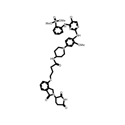 COc1cc(N2CCC(NC(=O)CCCSc3cccc4c3CN(C3CCC(=O)NC3=O)C4=O)CC2)ccc1Nc1ncc(Cl)c(Nc2ccccc2P(=O)(OC)OC)n1